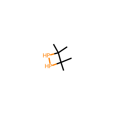 CC1(C)PPC1(C)C